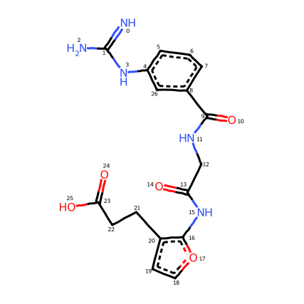 N=C(N)Nc1cccc(C(=O)NCC(=O)Nc2occc2CCC(=O)O)c1